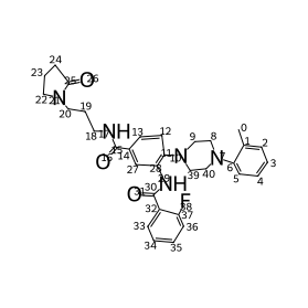 Cc1ccccc1N1CCN(c2ccc(C(=O)NCCCN3CCCC3=O)cc2NC(=O)c2ccccc2F)CC1